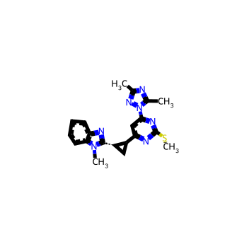 CSc1nc(C2C[C@@H]2c2nc3ccccc3n2C)cc(-n2nc(C)nc2C)n1